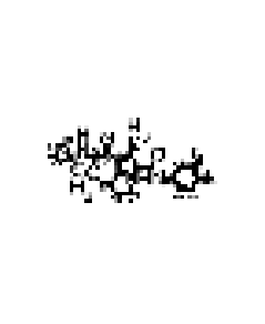 Cc1c(C(=O)C(=O)NC2(C)CSC2)c2n(c1C(=O)Nc1ccc(F)c(Cl)c1)CCC2